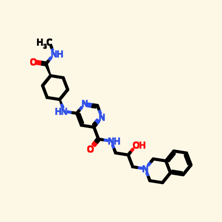 CNC(=O)[C@H]1CC[C@@H](Nc2cc(C(=O)NCC(O)CN3CCc4ccccc4C3)ncn2)CC1